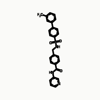 O=C(Nc1cccnc1)c1ccc(CNS(=O)(=O)c2ccc(-c3cccc(C(F)(F)F)c3)cc2)cc1